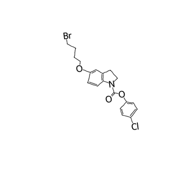 O=C(Oc1ccc(Cl)cc1)N1CCc2cc(OCCCCBr)ccc21